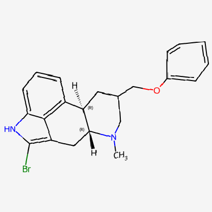 CN1CC(COc2ccccc2)C[C@@H]2c3cccc4[nH]c(Br)c(c34)C[C@H]21